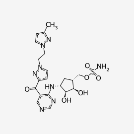 Cc1ccn(CCn2ccc(C(=O)c3cncnc3N[C@@H]3C[C@H](COS(N)(=O)=O)[C@@H](O)[C@H]3O)n2)n1